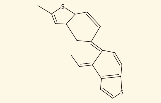 C/C=c1\c(=C2\C=CC3SC(C)=CC3C2)ccc2sccc12